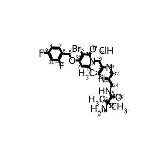 Cc1cc(OCc2ccc(F)cc2F)c(Br)c(=O)n1Cc1cnc(CNC(=O)C(C)(C)N)cn1.Cl